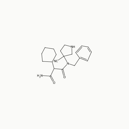 N#CC1(N(Cc2ccccc2)C(=O)C(C(N)=O)C2CCCCC2)CCNC1